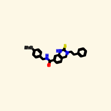 COc1ccc(CNC(=O)c2ccc3c(c2)NC(=S)N(CCc2ccccc2)C3)cc1